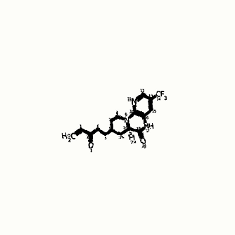 C=CC(=O)CCC1CCN2c3ncc(C(F)(F)F)cc3NC(=O)[C@H]2C1